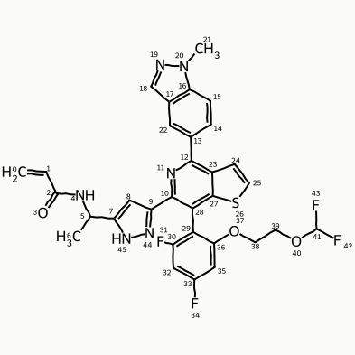 C=CC(=O)NC(C)c1cc(-c2nc(-c3ccc4c(cnn4C)c3)c3ccsc3c2-c2c(F)cc(F)cc2OCCOC(F)F)n[nH]1